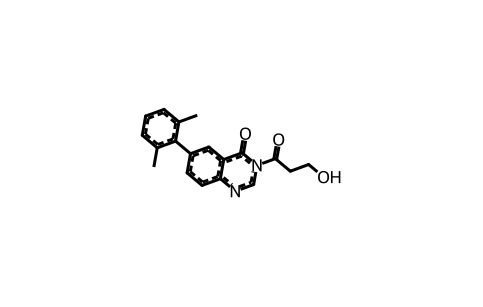 Cc1cccc(C)c1-c1ccc2ncn(C(=O)CCO)c(=O)c2c1